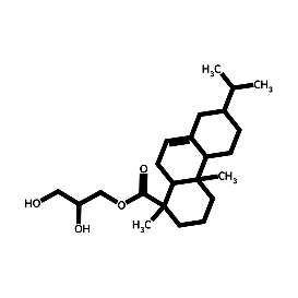 CC(C)C1CCC2C(=CCC3C(C)(C(=O)OCC(O)CO)CCCC23C)C1